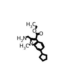 CCOC(=O)c1c(CN)n(C)c2cc(C3CCCC3)ccc12